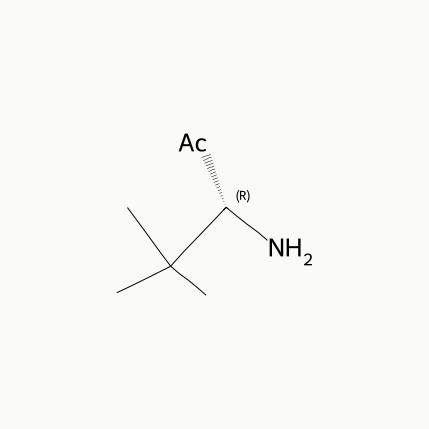 CC(=O)[C@H](N)C(C)(C)C